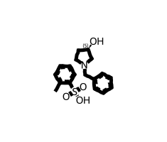 Cc1ccccc1S(=O)(=O)O.O[C@H]1CCN(Cc2ccccc2)C1